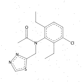 CCc1ccc(Cl)c(CC)c1N(Cc1nncs1)C(C)=O